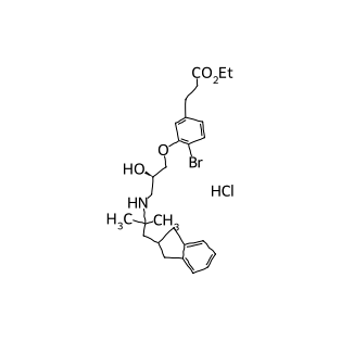 CCOC(=O)CCc1ccc(Br)c(OC[C@H](O)CNC(C)(C)CC2Cc3ccccc3C2)c1.Cl